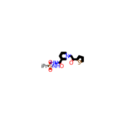 CC(C)S(=O)(=O)NNC(=O)c1ccc[n+](CC(=O)c2cccs2)c1